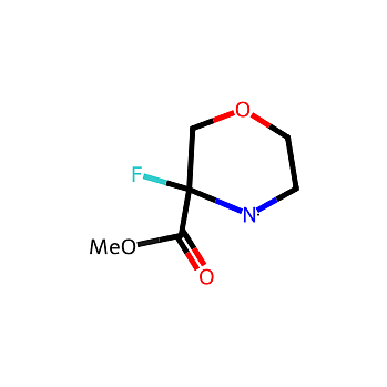 COC(=O)C1(F)COCC[N]1